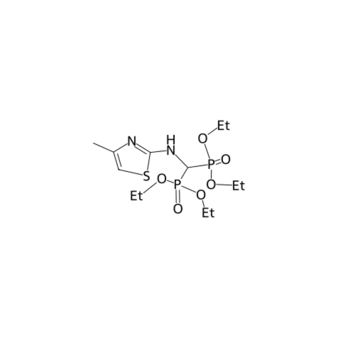 CCOP(=O)(OCC)C(Nc1nc(C)cs1)P(=O)(OCC)OCC